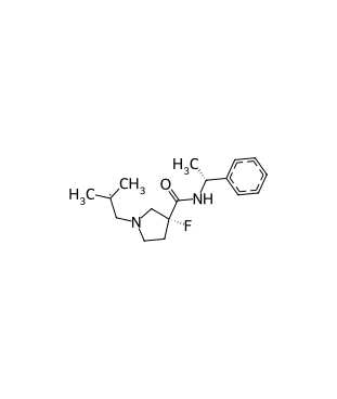 C[C](C)CN1CC[C@](F)(C(=O)N[C@H](C)c2ccccc2)C1